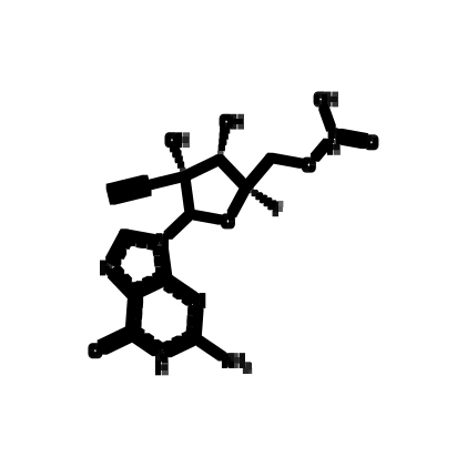 C#C[C@]1(O)C(n2cnc3c(=O)[nH]c(N)nc32)O[C@](F)(CO[PH](=O)O)[C@H]1O